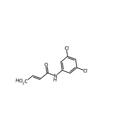 O=C(O)/C=C/C(=O)Nc1cc(Cl)cc(Cl)c1